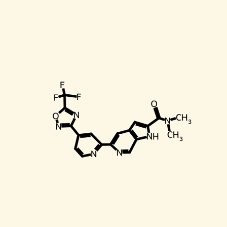 CN(C)C(=O)c1cc2cc(-c3cc(-c4noc(C(F)(F)F)n4)ccn3)ncc2[nH]1